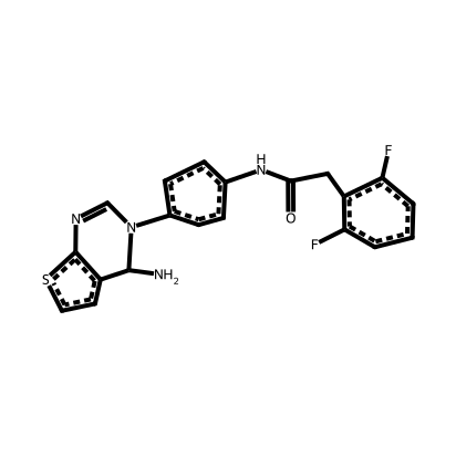 NC1c2ccsc2N=CN1c1ccc(NC(=O)Cc2c(F)cccc2F)cc1